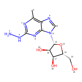 Cc1nc(NN)nc2c1ncn2[C@@H]1O[C@H](CO)[C@@H](O)[C@H]1O